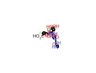 O=C(O)c1c(F)ccc2c1OB(O)[C@@H](NC(=O)[C@H](NC(=O)N1CCN(CCNC(=O)[C@@H]3CCCN3)C(=O)C1=O)c1cc(F)c(O)c(O)c1Cl)C2